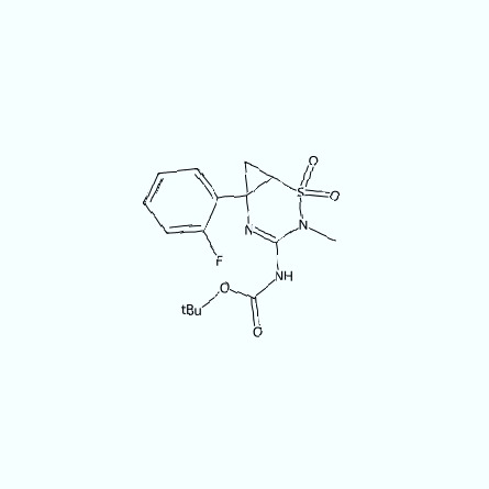 CN1C(NC(=O)OC(C)(C)C)=NC2(c3ccccc3F)CC2S1(=O)=O